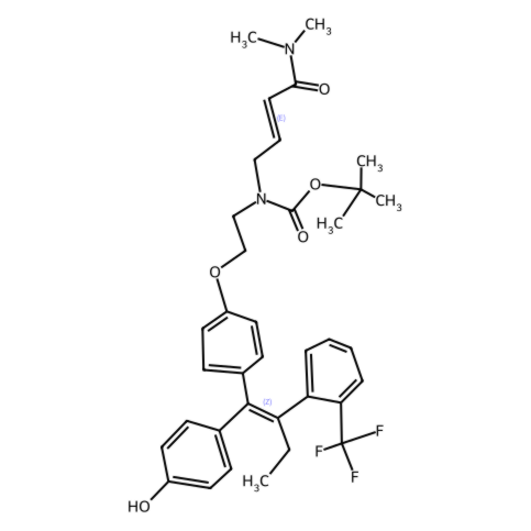 CC/C(=C(\c1ccc(O)cc1)c1ccc(OCCN(C/C=C/C(=O)N(C)C)C(=O)OC(C)(C)C)cc1)c1ccccc1C(F)(F)F